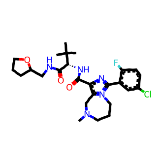 CN1CCCn2c(-c3cc(Cl)ccc3F)nc(C(=O)N[C@H](C(=O)NCC3CCCO3)C(C)(C)C)c2C1